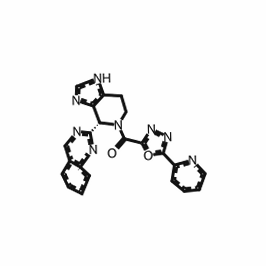 O=C(c1nnc(-c2ccccn2)o1)N1CCc2[nH]cnc2[C@H]1c1ncc2ccccc2n1